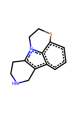 c1cc2c3c(c1)c1c(n3CCS2)CCNC1